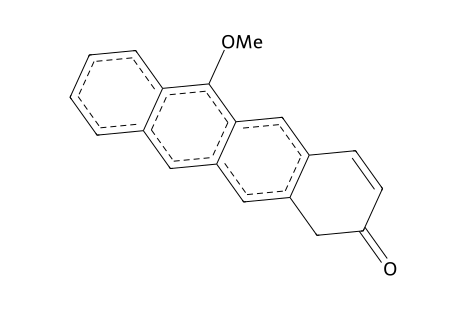 COc1c2ccccc2cc2cc3c(cc12)C=CC(=O)C3